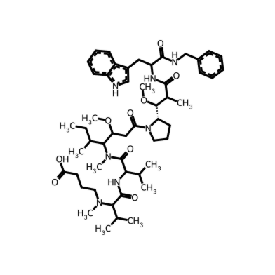 CCC(C)C(C(CC(=O)N1CCC[C@H]1C(OC)C(C)C(=O)NC(Cc1c[nH]c2ccccc12)C(=O)NCc1ccccc1)OC)N(C)C(=O)C(NC(=O)C(C(C)C)N(C)CCCC(=O)O)C(C)C